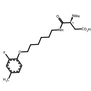 CN[C@@H](CC(=O)O)C(=O)NCCCCCCOc1ccc(C)cc1F